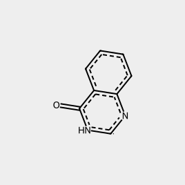 O=c1[nH][c]nc2ccccc12